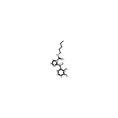 CCCCCOC(=O)n1ccnc1[C@@H](C)c1cccc(C)c1C